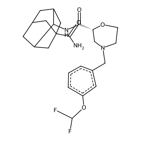 NC(=O)C12CC3CC(C1)C(NC(=O)[C@H]1CN(Cc4cccc(OC(F)F)c4)CCO1)C(C3)C2